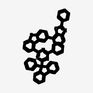 c1ccc(-c2nc(-c3cccc4sc5ccc(-c6cccc7nc(-c8ccccc8)oc67)cc5c34)nc(C3(c4ccccc4)c4ccccc4-c4ccccc43)n2)cc1